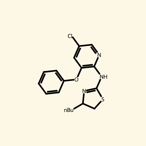 CCCCC1CSC(Nc2ncc(Cl)cc2Oc2ccccc2)=N1